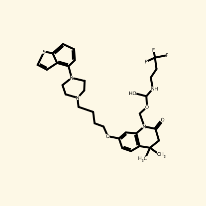 CC1(C)CC(=O)N(COC(O)NCCC(F)(F)F)c2cc(OCCCCN3CCN(c4cccc5sccc45)CC3)ccc21